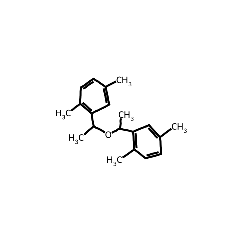 Cc1ccc(C)c(C(C)OC(C)c2cc(C)ccc2C)c1